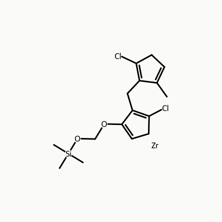 CC1=CCC(Cl)=C1CC1=C(Cl)CC=C1OCO[Si](C)(C)C.[Zr]